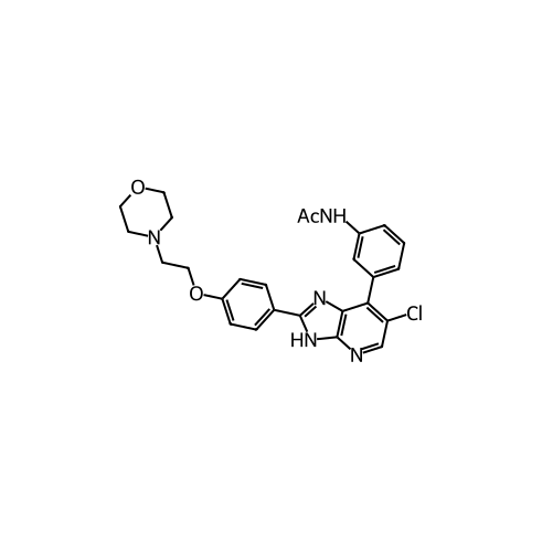 CC(=O)Nc1cccc(-c2c(Cl)cnc3[nH]c(-c4ccc(OCCN5CCOCC5)cc4)nc23)c1